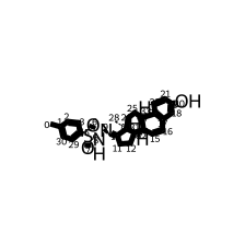 Cc1ccc(S(=O)(=O)NN=C2CC[C@H]3[C@@H]4C=Cc5cc(O)ccc5[C@H]4CC[C@]23C)cc1